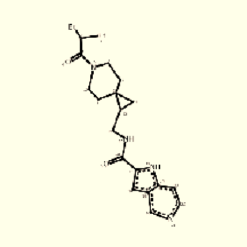 CCC(CC)C(=O)N1CCC2(CC1)CC2CNC(=O)c1cc2cnccc2[nH]1